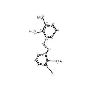 Cc1c(Cl)cccc1N=Cc1cccc(C(=O)O)c1C(=O)O